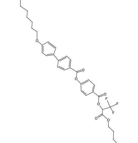 CCCCCCCOc1ccc(-c2ccc(C(=O)Oc3ccc(C(=O)OC(C(=O)OCCCC)C(F)(F)F)cc3)cc2)cc1